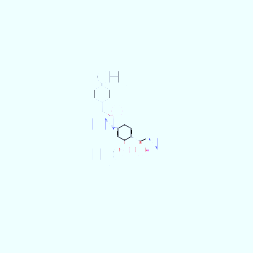 COc1cc(NC(=O)CC2CCC(C)CC2)ccc1-c1cnco1